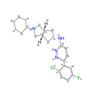 Fc1ccc(Cl)c(-c2ccc(N[C@@H]3C[C@@H]4CN(C5CCCCC5)C[C@@H]4C3)nn2)c1